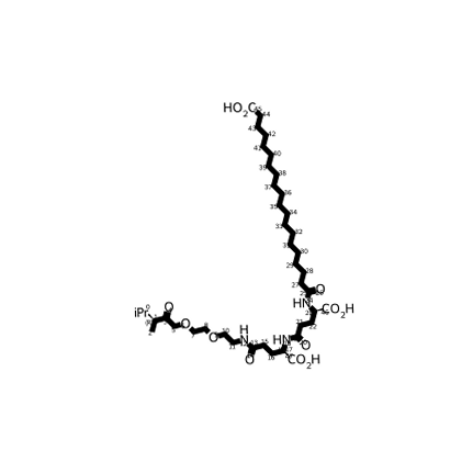 CC(C)[C@@H](C)C(=O)COCCOCCNC(=O)CC[C@H](NC(=O)CC[C@H](NC(=O)CCCCCCCCCCCCCCCCCCC(=O)O)C(=O)O)C(=O)O